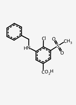 CS(=O)(=O)c1cc(C(=O)O)cc(NCc2ccccc2)c1Cl